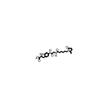 C=C1C=CC(=O)N1CCCCCC(=O)NCC(=O)Nc1ccc(C[C@H](N)C(=O)OC)cc1